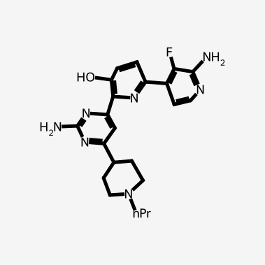 CCCN1CCC(c2cc(-c3nc(-c4ccnc(N)c4F)ccc3O)nc(N)n2)CC1